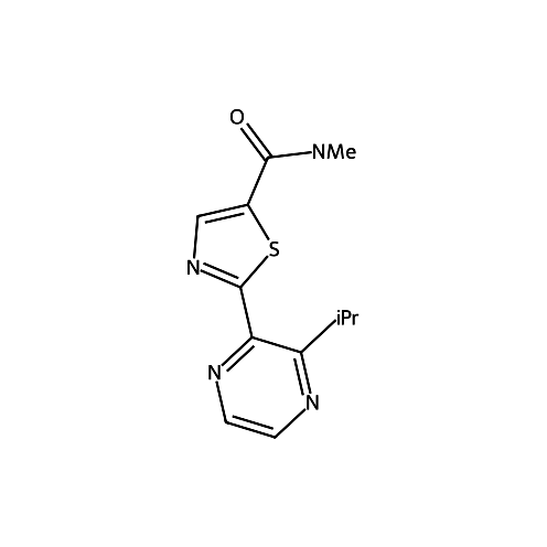 CNC(=O)c1cnc(-c2nccnc2C(C)C)s1